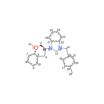 COC[C@H](Cc1ccccc1)N1CN(Cc2ccc(C)cc2)c2ccccc21